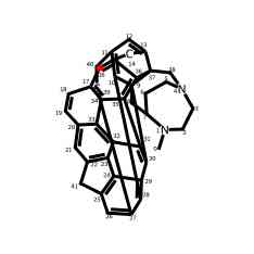 CN1CCN2CCC1CC13C4=C5C=C6Cc7cc8ccc9cc%10c%11c%12c(cc(c4c%12c1c1c%11c9c8c-1c7C63C2)CC5)C%10